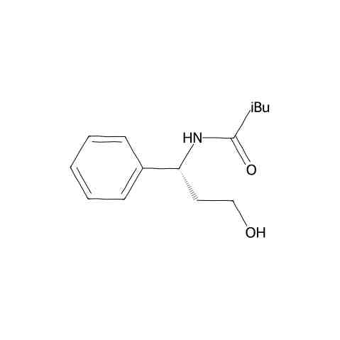 CCC(C)C(=O)N[C@H](CCO)c1ccccc1